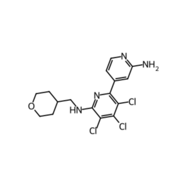 Nc1cc(-c2nc(NCC3CCOCC3)c(Cl)c(Cl)c2Cl)ccn1